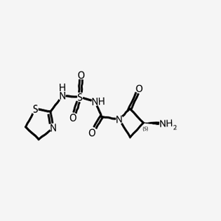 N[C@H]1CN(C(=O)NS(=O)(=O)NC2=NCCS2)C1=O